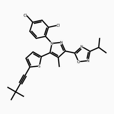 Cc1c(-c2nc(C(C)C)no2)nn(-c2ccc(Cl)cc2Cl)c1-c1ccc(C#CC(C)(C)C)s1